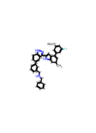 COc1cc(F)cc(C2=CC(C)Cc3[nH]c(-c4n[nH]c5ccc(-c6cccc(CNCc7ccccc7)c6)cc45)cc32)c1